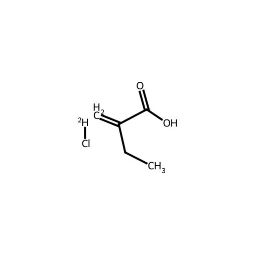 C=C(CC)C(=O)O.[2H]Cl